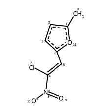 Cc1ccc(C=C(Cl)[N+](=O)[O-])o1